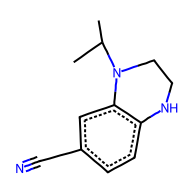 CC(C)N1CCNc2ccc(C#N)cc21